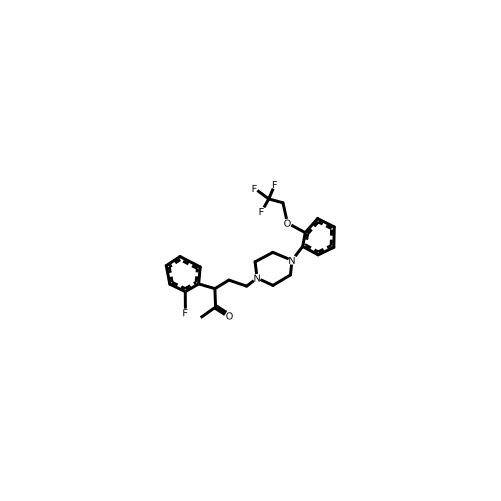 CC(=O)C(CCN1CCN(c2ccccc2OCC(F)(F)F)CC1)c1ccccc1F